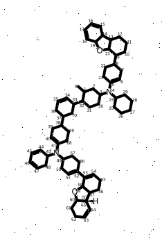 CC1CC(N(C2=CCC(C3CCCC4C5C=CC=CC5OC34)CC2)C2CCCCC2)CCC1C1C=CCC(C2CC=C(N(C3C=CC=CC3)C3CC=C(C4=CCCC5C4OC4CCC=C[C@H]45)CC3)CC2)C1